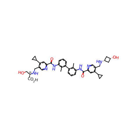 Cc1c(NC(=O)c2cc(C3CC3)c(CN[C@H](CO)C(=O)O)cn2)cccc1-c1cccc(NC(=O)c2cc(C3CC3)c(CN[C@H]3C[C@@H](O)C3)cn2)c1C